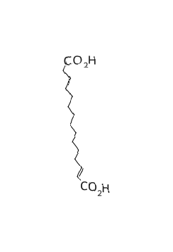 O=C(O)/C=C/CCCCCCCCCCCC(=O)O